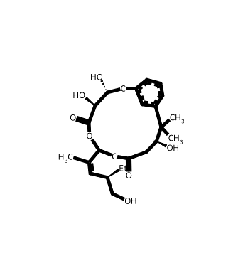 CC[C@H](/C=C(/C)C1CC(=O)C[C@H](O)C(C)(C)c2cccc(c2)C[C@@H](O)[C@H](O)C(=O)O1)CO